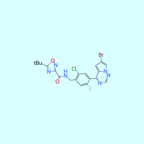 CC(C)(C)c1nc(C(=O)NCc2cc(F)c(-c3ncnn4cc(Br)cc34)cc2Cl)no1